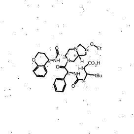 CCO[C@@H]1C[C@@H]2CN(C(=O)[C@@H](NC(=O)[C@@H](C)C(NC(=O)O)C(C)(C)C)c3ccccc3)[C@H](C(=O)N[C@@H]3CCOc4ccccc43)CN2C1